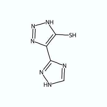 Sc1[nH]nnc1-c1nc[nH]n1